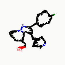 OCc1cccn2nc(-c3ccc(F)cc3)c(-c3ccncc3)c12